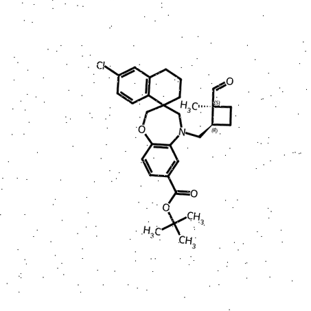 CC(C)(C)OC(=O)c1ccc2c(c1)N(C[C@@H]1CC[C@]1(C)C=O)CC1(CCCc3cc(Cl)ccc31)CO2